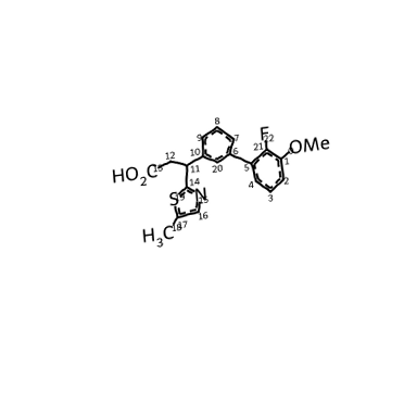 COc1cccc(-c2cccc(C(CC(=O)O)c3ncc(C)s3)c2)c1F